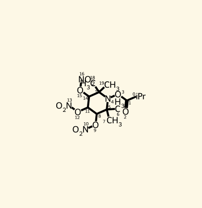 CC(C)C(=O)ON1C(C)(C)C(O[N+](=O)[O-])C(O[N+](=O)[O-])C(O[N+](=O)[O-])C1(C)C